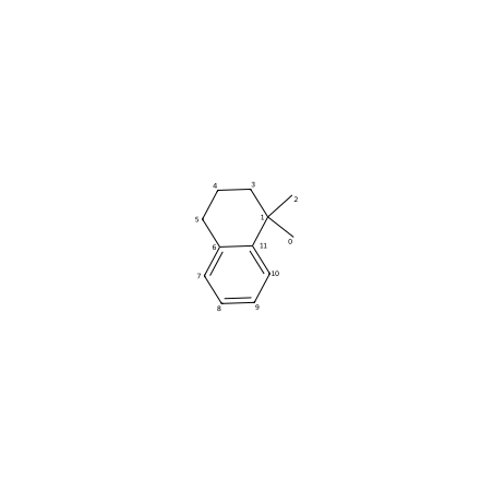 CC1(C)CCCc2ccccc21